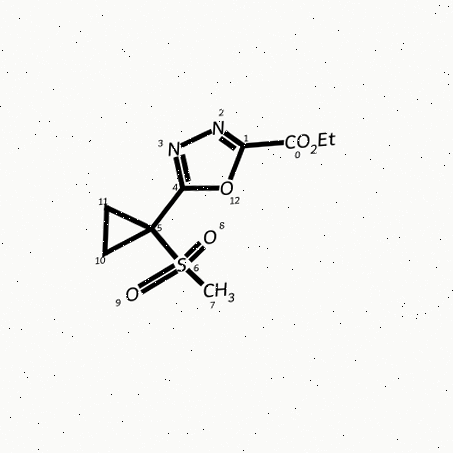 CCOC(=O)c1nnc(C2(S(C)(=O)=O)CC2)o1